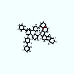 c1ccc(-c2ccc(-c3nc(-c4ccccc4)nc(-c4ccc(-c5ccccc5)cc4)c3-c3cccc(-c4nc5ccccc5c5c4ccc4c6ccccc6oc45)c3)cc2)cc1